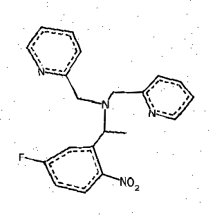 CC(c1cc(F)ccc1[N+](=O)[O-])N(Cc1ccccn1)Cc1ccccn1